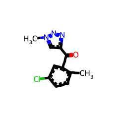 Cc1ccc(Cl)cc1C(=O)c1cn(C)nn1